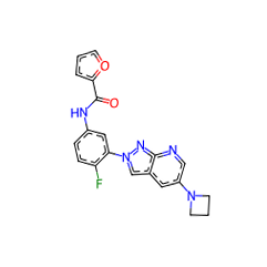 O=C(Nc1ccc(F)c(-n2cc3cc(N4CCC4)cnc3n2)c1)c1ccco1